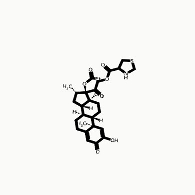 CCC(=O)O[C@]1(C(=O)COC(=O)C2CSCN2)[C@@H](C)C[C@H]2[C@@H]3CCC4=CC(=O)C(O)=C[C@]4(C)[C@H]3CC[C@@]21C